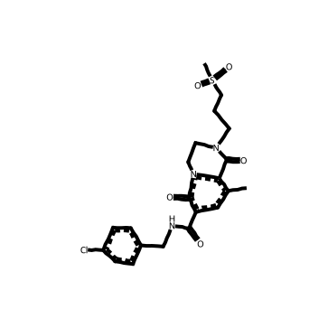 Cc1cc(C(=O)NCc2ccc(Cl)cc2)c(=O)n2c1C(=O)N(CCCS(C)(=O)=O)CC2